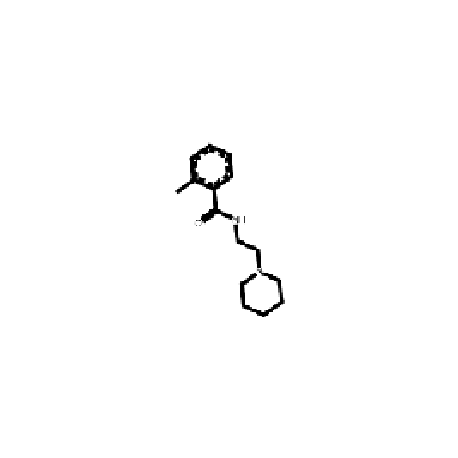 Cc1c[c]ccc1C(=O)NCCN1CCCCC1